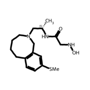 CSc1ccc2c(c1)CN(C[C@H](C)NC(=O)CNO)CCCC2